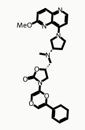 COc1ccc2nccc(N3CC[C@H](N(C)C[C@@H]4CN(C5=COC=C(C6=CC=CCC6)O5)C(=O)O4)C3)c2n1